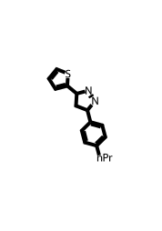 CCCc1ccc(C2CC(c3cccs3)N=N2)cc1